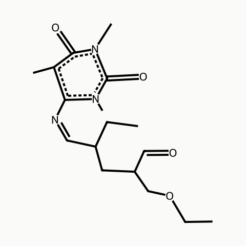 CCOCC(C=O)CC(/C=N\c1c(C)c(=O)n(C)c(=O)n1C)CC